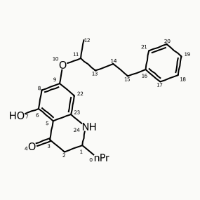 CCCC1CC(=O)c2c(O)cc(OC(C)CCCc3ccccc3)cc2N1